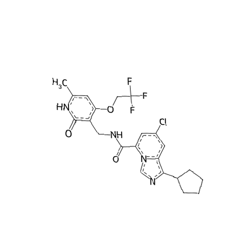 Cc1cc(OCC(F)(F)F)c(CNC(=O)c2cc(Cl)cc3c(C4CCCC4)ncn23)c(=O)[nH]1